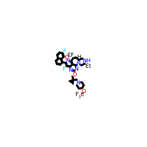 CC[C@@H]1CN2c3nc(OCC4(CN5CCC(OC(F)(F)F)CC5)CC4)nc4c(F)c(-c5cccc6ccc(F)c(OC(F)(F)F)c56)nc(c34)CC[C@@H]2CN1